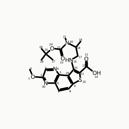 COc1cnc2c(ccc3sc(C(=O)O)c(NCC(C)N(C)C(=O)OC(C)(C)C)c32)n1